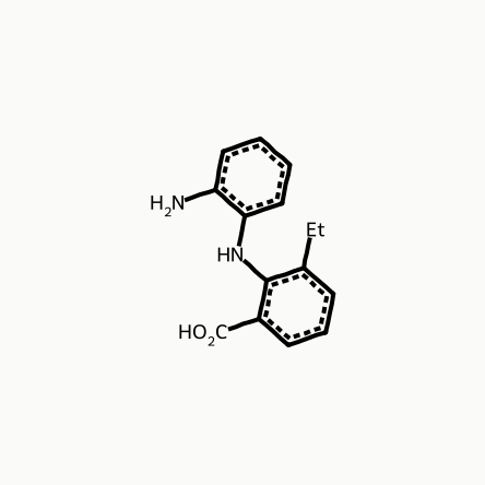 CCc1cccc(C(=O)O)c1Nc1ccccc1N